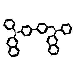 c1ccc(N(Cc2ccc(-c3ccc(N(c4ccccc4)c4ccc5ccccc5c4)cc3)cc2)c2ccc3ccccc3c2)cc1